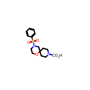 O=C(O)N1CCC2(CC1)CN(S(=O)(=O)c1ccccc1)CCO2